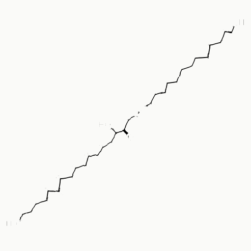 CCCCCCCCCCCCCCCCCC(=O)C(O)CCCCCCCCCCCCCCC